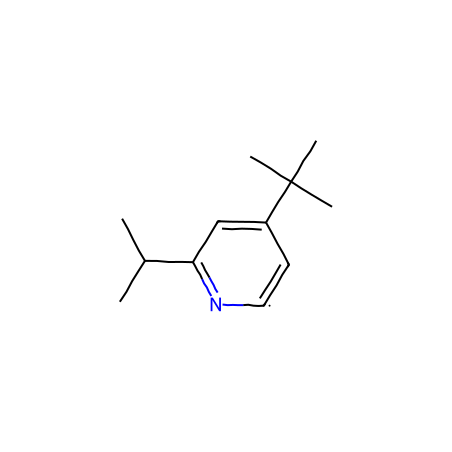 CC(C)c1cc(C(C)(C)C)c[c]n1